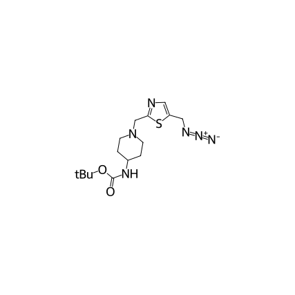 CC(C)(C)OC(=O)NC1CCN(Cc2ncc(CN=[N+]=[N-])s2)CC1